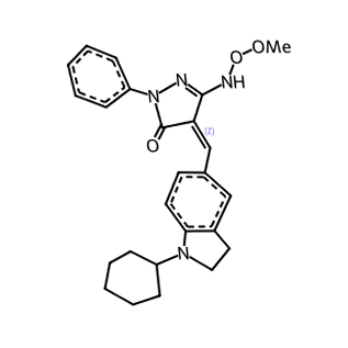 COONC1=NN(c2ccccc2)C(=O)/C1=C\c1ccc2c(c1)CCN2C1CCCCC1